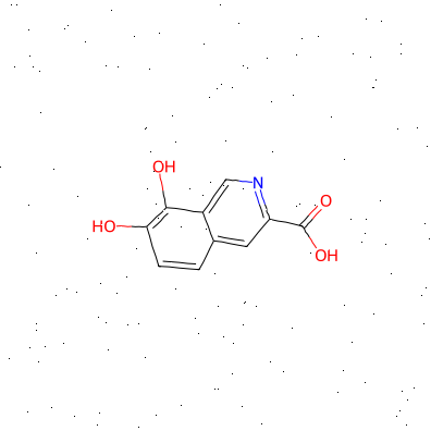 O=C(O)c1cc2ccc(O)c(O)c2cn1